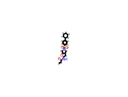 C=CC(=O)NC1CC2CN(S(=O)(=O)c3ccc(C4CCCCC4)cc3)CC2O1